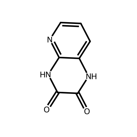 O=c1[nH]c2cccnc2[nH]c1=O